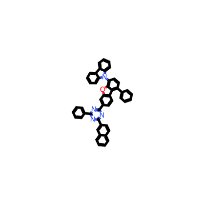 c1ccc(-c2nc(-c3ccc4ccccc4c3)nc(-c3ccc4c(c3)oc3c(-n5c6ccccc6c6ccccc65)ccc(-c5ccccc5)c34)n2)cc1